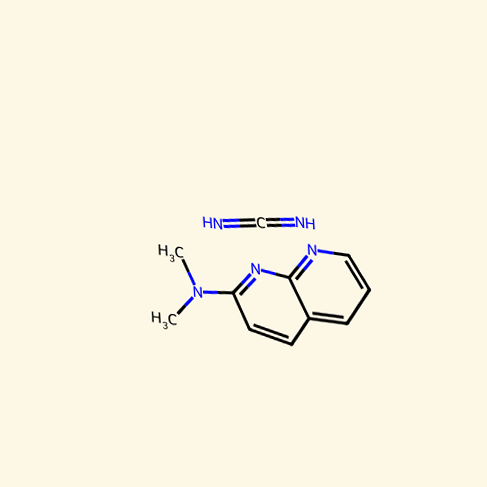 CN(C)c1ccc2cccnc2n1.N=C=N